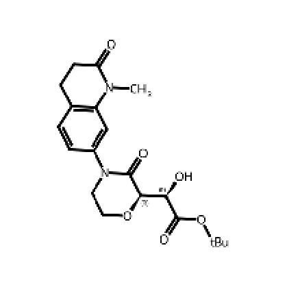 CN1C(=O)CCc2ccc(N3CCO[C@H]([C@@H](O)C(=O)OC(C)(C)C)C3=O)cc21